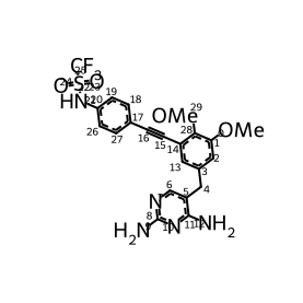 COc1cc(Cc2cnc(N)nc2N)cc(C#Cc2ccc(NS(=O)(=O)C(F)(F)F)cc2)c1OC